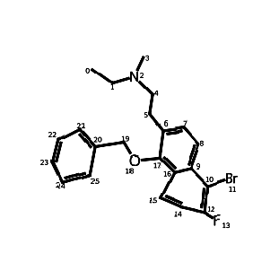 CCN(C)CCc1ccc2c(Br)c(F)ccc2c1OCc1ccccc1